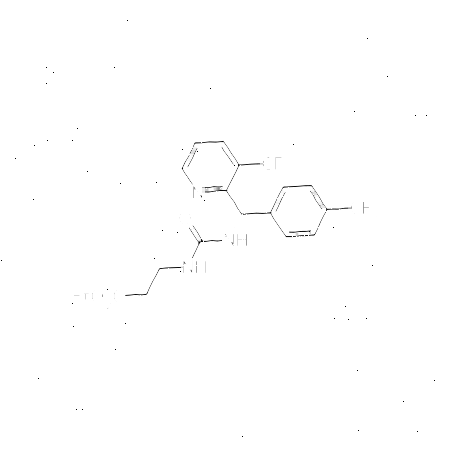 CCOC(=O)CCNC(=O)N[C@@H](c1ccc(C(F)(F)F)cc1)c1ncccc1C(F)(F)F